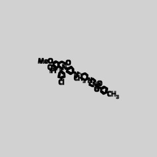 COc1cc2c(cc1OC(C)C)[C@H](c1ccc(Cl)cc1)N(c1ccc(N(C)C[C@H]3CC[C@H](N4CCN(S(=O)(=O)c5ccc(C)cc5)CC4)CC3)cc1)C(=O)C2